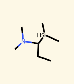 CCC(N(C)C)[SiH](C)C